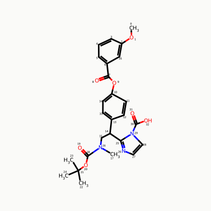 COc1cccc(C(=O)Oc2ccc(C(CN(C)C(=O)OC(C)(C)C)c3nccn3C(=O)O)cc2)c1